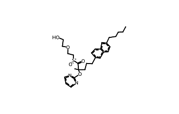 CCCCCc1ccc2cc(CCCC(C)(Oc3ncccn3)C(=O)[S+]([O-])CCOCCO)ccc2c1